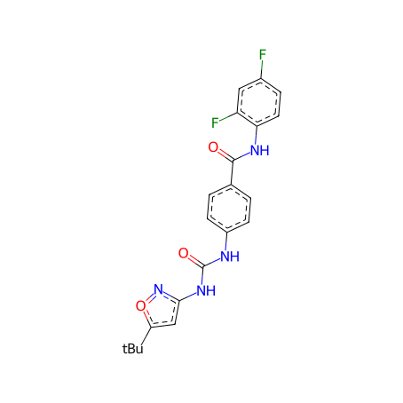 CC(C)(C)c1cc(NC(=O)Nc2ccc(C(=O)Nc3ccc(F)cc3F)cc2)no1